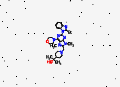 CCc1nc2ccccc2n1-c1nc(N2CCOC[C@H]2C)c2nc(CN3CCC(C(C)(C)O)CC3)n(C)c2n1